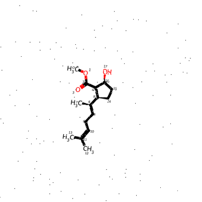 COC(=O)C1[C@H]([C@H](C)CCC=C(C)C)CC[C@@H]1O